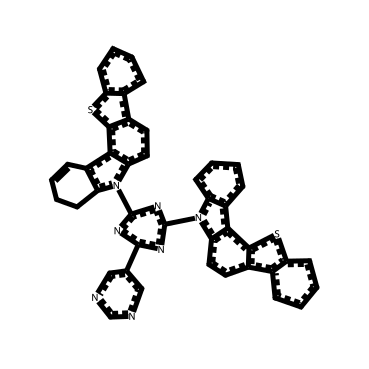 C1=Cc2c(n(-c3nc(-c4cncnc4)nc(-n4c5ccccc5c5c6sc7ccccc7c6ccc54)n3)c3ccc4c5ccccc5sc4c23)CC1